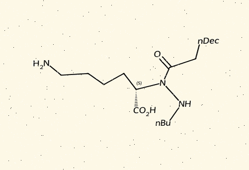 CCCCCCCCCCCC(=O)N(NCCCC)[C@@H](CCCCN)C(=O)O